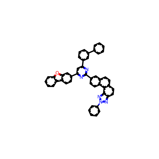 c1ccc(-c2cccc(-c3cc(-c4ccc5c(c4)oc4ccccc45)nc(-c4ccc5c(ccc6ccc7nn(-c8ccccc8)nc7c65)c4)n3)c2)cc1